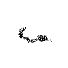 CNC(=O)CCC(C=O)N1C(=O)c2cccc(NCCNC(=O)CCC(=O)N3CCN(CCCOc4cc5ncc(C#N)c(Nc6cc(OC)c(Cl)cc6Cl)c5cc4OC)CC3)c2C1=O